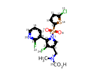 CN(Cc1cn(S(=O)(=O)c2ccc(Cl)s2)c(-c2cccnc2F)c1F)C(=O)O